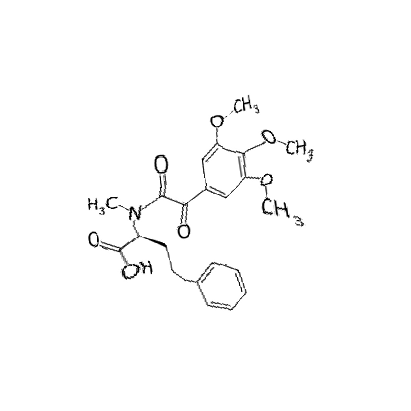 COc1cc(C(=O)C(=O)N(C)[C@@H](CCc2ccccc2)C(=O)O)cc(OC)c1OC